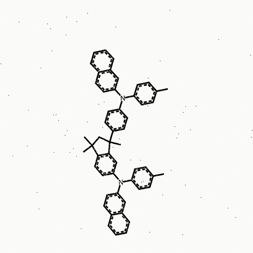 Cc1ccc(N(c2ccc(C3(C)CC(C)(C)c4ccc(N(c5ccc(C)cc5)c5ccc6ccccc6c5)cc43)cc2)c2ccc3ccccc3c2)cc1